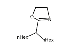 CCCCCCC(CCCCCC)C1=NCCO1